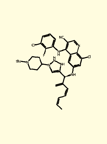 C=C(/C=C\C=C/C)[C@H](Nc1cc(Cl)c2ncc(C#N)c(Nc3cccc(Cl)c3F)c2c1)C1=CN(C2CCN(C(C)(C)C)CC2)NN1